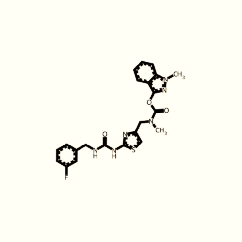 CN(Cc1csc(NC(=O)NCc2cccc(F)c2)n1)C(=O)Oc1nn(C)c2ccccc12